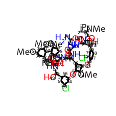 CN[C@@H](CC(C)C)C(=O)N[C@H]1C(=O)NC(CC(N)=O)C(=O)N[C@H]2C(=O)N[C@H](c3ccc(OC)c(-c4c(OC)cc(OC)cc4C(NC(C)=O)B(O)O)c3)C(=O)NC[C@H](O)c3cc(Cl)cc(c3)Oc3cc2cc(c3OC)Oc2ccc(cc2Cl)[C@H]1O